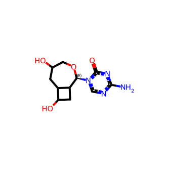 Nc1ncn([C@@H]2OCC(O)CC3C(O)CC32)c(=O)n1